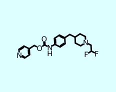 O=C(Nc1ccc(CC2CCN(CC(F)F)CC2)cc1)OCc1ccncc1